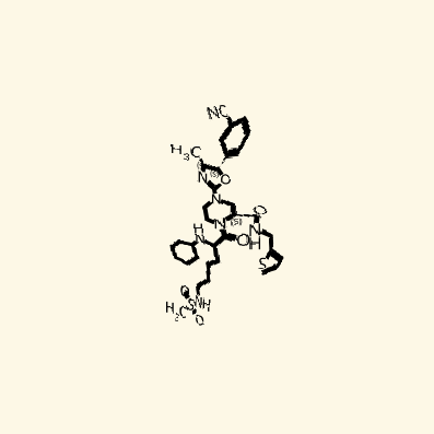 C[C@@H]1N=C(N2CCN(C(=O)C(CCCCNS(C)(=O)=O)NC3CCCCC3)[C@H](C(=O)NCc3cccs3)C2)O[C@H]1c1cccc(C#N)c1